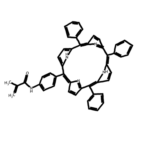 C=C(C)C(=O)Nc1ccc(-c2c3nc(c(-c4ccccc4)c4ccc([nH]4)c(-c4ccccc4)c4nc(c(-c5ccccc5)c5ccc2[nH]5)C=C4)C=C3)cc1